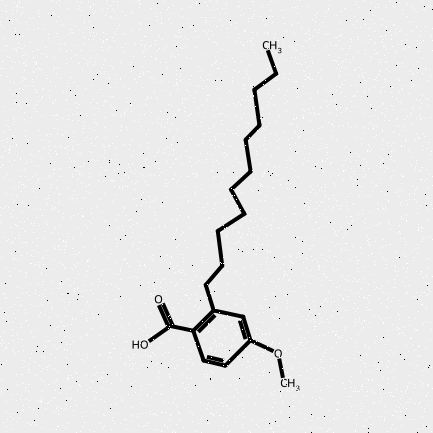 CCCCCCCCCCCc1cc(OC)ccc1C(=O)O